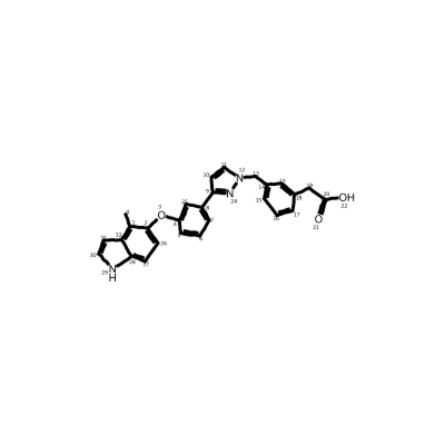 Cc1c(Oc2cccc(-c3ccn(Cc4cccc(CC(=O)O)c4)n3)c2)ccc2[nH]ccc12